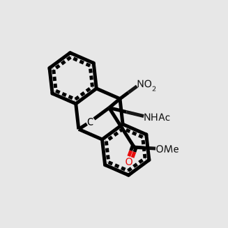 COC(=O)C1(NC(C)=O)CC2c3ccccc3C1([N+](=O)[O-])c1ccccc12